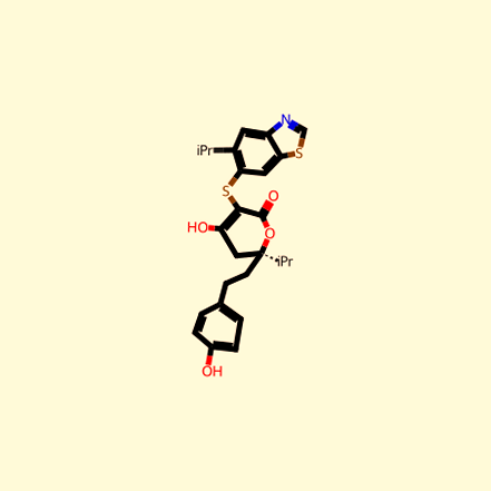 CC(C)c1cc2ncsc2cc1SC1=C(O)C[C@@](CCc2ccc(O)cc2)(C(C)C)OC1=O